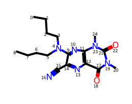 CCCCN(CCCC)c1nc2c(nc1C#N)c(=O)n(C)c(=O)n2C